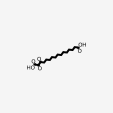 O=C(O)CCCCCCCCCCCCC(=O)C(=O)C(=O)O